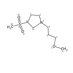 COCCCN1CCC(S(C)(=O)=O)C1